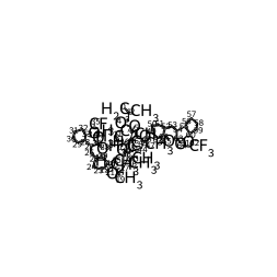 C=C(C)C(=O)OC(C)(C)CC(C)OC(C(C)(C)CC(C)(C)Oc1ccc2cc(-c3ccccc3OC(F)(F)F)c(=O)oc2c1)C(C)(C)CC(C)(C)Oc1ccc2cc(-c3ccccc3OC(F)(F)F)c(=O)oc2c1